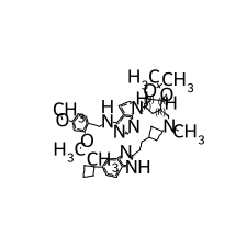 COc1ccc(CNc2ncnc3c2ccn3[C@@H]2C[C@H](CN(C)C3CC(CCc4nc5cc(C6(C)CCC6)ccc5[nH]4)C3)[C@H]3OC(C)(C)O[C@H]32)c(OC)c1